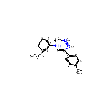 CCc1ccc(C(=C/NC2=CCCC(C(=O)O)=C2)/N=N\C)cc1